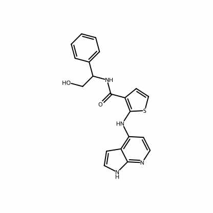 O=C(NC(CO)c1ccccc1)c1ccsc1Nc1ccnc2[nH]ccc12